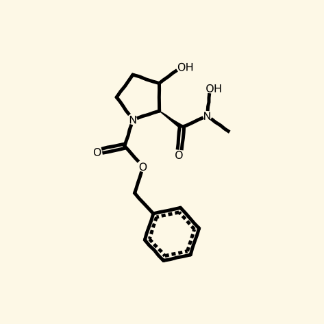 CN(O)C(=O)[C@@H]1C(O)CCN1C(=O)OCc1ccccc1